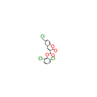 O=C1OC2=CC=C(CCl)CC2C=C1C(=O)Oc1c(Cl)cccc1Cl